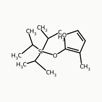 Cc1ccoc1O[Si](C(C)C)(C(C)C)C(C)C